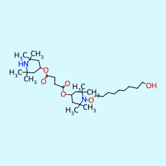 CC1(C)CC(OC(=O)CCC(=O)OC2CC(C)(C)N(OCCCCCCCCCO)C(C)(C)C2)CC(C)(C)N1